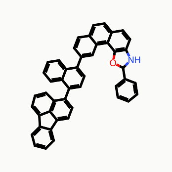 c1ccc(C2Nc3ccc4ccc5ccc(-c6ccc(-c7ccc8c9c(cccc79)-c7ccccc7-8)c7ccccc67)cc5c4c3O2)cc1